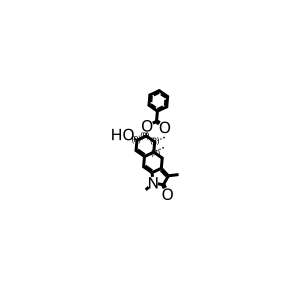 CC1=C2C[C@@]3(C)C(=C[C@@H](O)[C@H](OC(=O)c4ccccc4)[C@@H]3C)C=C2N(C)C1=O